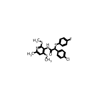 CSc1cc(C)nc(SC)c1NC(=O)C(Sc1ccc(F)cc1)c1ccc(Cl)cc1